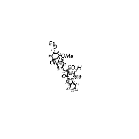 CCOCC1=CC(OC)=C(c2ccc(CC(NC(=O)C3=Nc4ccccc4C3=S=O)C(=O)O)cc2)C(OC)C1